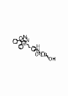 O=C(Nc1ccc(CCNc2ncnc3oc(-c4ccccc4)c(-c4ccccc4)c23)cc1)N1CCN(CCO)CC1